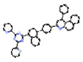 c1ccc(-c2cc(-c3ccc(-c4ccc(-c5nc(-c6ccccn6)nc(-c6ccccn6)n5)c5ccccc45)cc3)nc3ccc4ccccc4c23)cc1